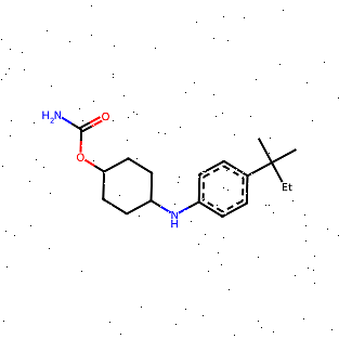 CCC(C)(C)c1ccc(NC2CCC(OC(N)=O)CC2)cc1